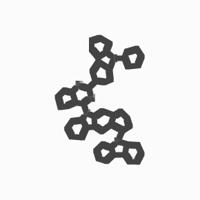 c1ccc(-n2c3ccccc3c3cc(-c4nc(-n5c6ccccc6c6cc7c(-n8c9ccccc9c9ccccc98)cccc7cc65)c5ccccc5n4)ccc32)cc1